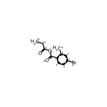 Cc1cc(Br)ccc1C(=O)OC(=O)CN